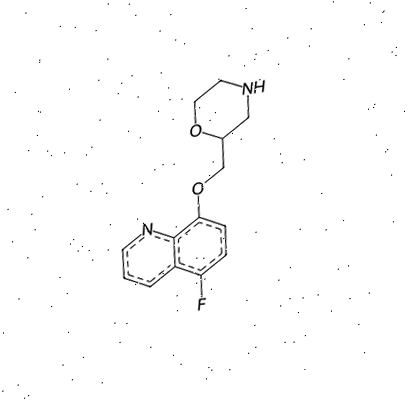 Fc1ccc(OCC2CNCCO2)c2ncccc12